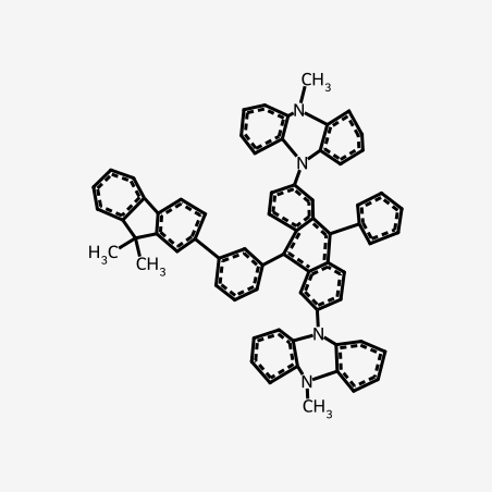 CN1c2ccccc2N(c2ccc3c(-c4cccc(-c5ccc6c(c5)C(C)(C)c5ccccc5-6)c4)c4cc(N5c6ccccc6N(C)c6ccccc65)ccc4c(-c4ccccc4)c3c2)c2ccccc21